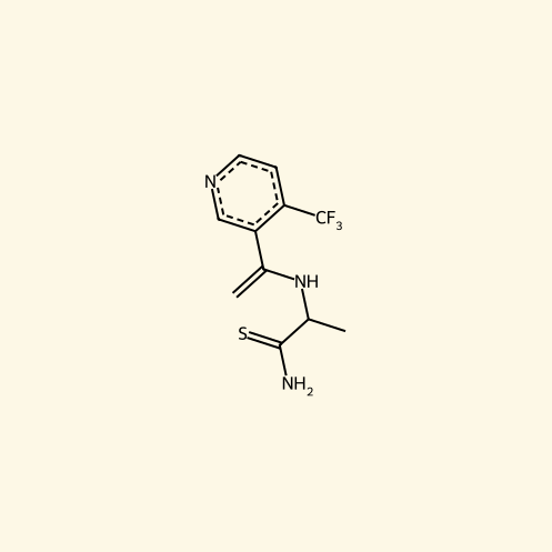 C=C(NC(C)C(N)=S)c1cnccc1C(F)(F)F